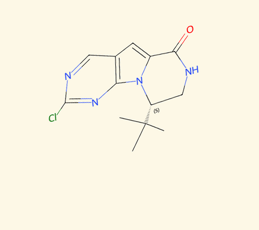 CC(C)(C)[C@H]1CNC(=O)c2cc3cnc(Cl)nc3n21